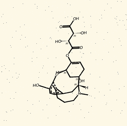 CN1CCCc2c3ccc(O)c2O[C@@H]2C[C@@](O)(CC=C2OC(=O)[C@H](O)[C@@H](O)C(=O)O)[C@H]1C3